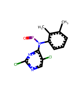 Cc1cccc(N(P=O)c2nc(Cl)ncc2Cl)c1C